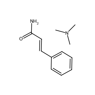 CN(C)C.NC(=O)C=Cc1ccccc1